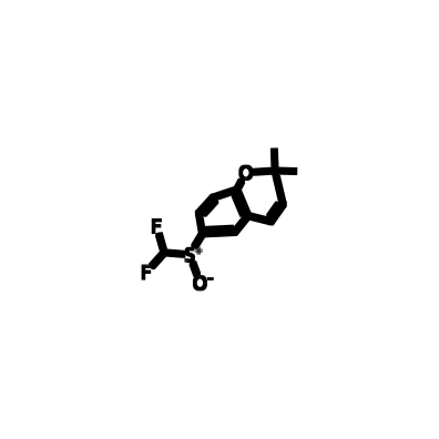 CC1(C)C=Cc2cc([S+]([O-])C(F)F)ccc2O1